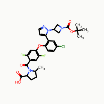 CC1CCC(C(=O)O)N1C(=O)c1cc(F)c(Oc2ccc(Cl)cc2-c2ccnn2C2CN(C(=O)OC(C)(C)C)C2)cc1F